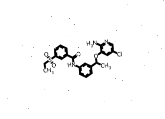 CCS(=O)(=O)c1cccc(C(=O)Nc2cccc(C(C)Oc3cc(Cl)cnc3N)c2)c1